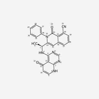 C[C@H](Nc1ncnc2[nH]ccc(=O)c12)c1cc2cccc(C#N)c2c(=O)n1-c1ccccc1